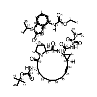 CCOC(=O)Nc1cccc2c1nc(O[C@@H]1C[C@H]3C(=O)N[C@]4(C(=O)NS(=O)(=O)N(C)C)C[C@H]4/C=C\CCCCC[C@H](NC(=O)OC(C)(C)C)C(=O)N3C1)n2C(C)C